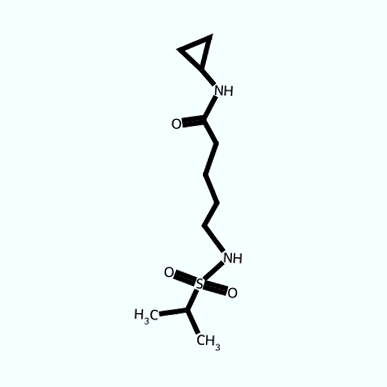 CC(C)S(=O)(=O)NCCCCC(=O)NC1CC1